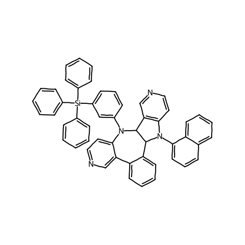 c1ccc([Si](c2ccccc2)(c2ccccc2)c2cccc(N3c4ccncc4-c4ccccc4C4C3c3cnccc3N4c3cccc4ccccc34)c2)cc1